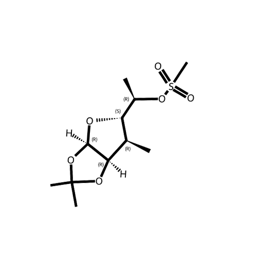 C[C@H]1[C@H]2OC(C)(C)O[C@H]2O[C@@H]1[C@@H](C)OS(C)(=O)=O